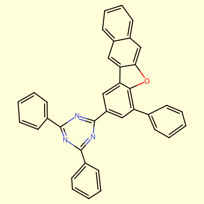 c1ccc(-c2nc(-c3ccccc3)nc(-c3cc(-c4ccccc4)c4oc5cc6ccccc6cc5c4c3)n2)cc1